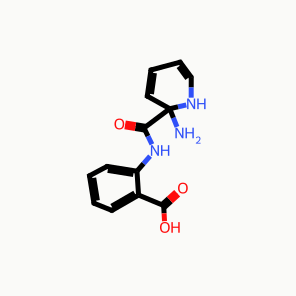 NC1(C(=O)Nc2ccccc2C(=O)O)C=CC=CN1